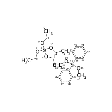 CCO[Si](OCC)(OCC)OCC.CO[Si](OC)(c1ccccc1)c1ccccc1